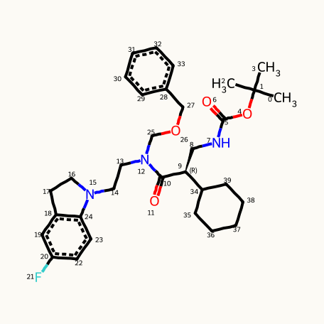 CC(C)(C)OC(=O)NC[C@H](C(=O)N(CCN1CCc2cc(F)ccc21)COCc1ccccc1)C1CCCCC1